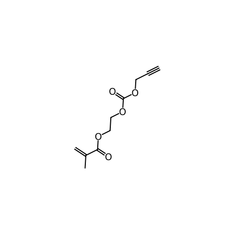 C#CCOC(=O)OCCOC(=O)C(=C)C